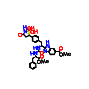 COC(=O)c1ccc2nc(C(Cc3ccc(C4CC(=O)NS4(O)O)cc3)NC(=O)N[C@H](Cc3ccccc3)C(=O)OC)[nH]c2c1